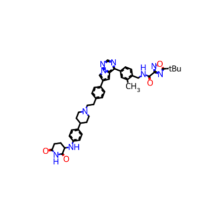 Cc1cc(-c2ncnn3cc(-c4ccc(CCN5CCC(c6ccc(NC7CCC(=O)NC7=O)cc6)CC5)cc4)cc23)ccc1CNC(=O)c1noc(C(C)(C)C)n1